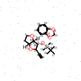 C#CC1O[C@@H]2CCO[C@@H]2[C@@H]1O[Si](C)(C)C(C)(C)C.c1ccc2c(c1)OCO2